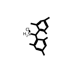 Cc1cc(C)c(C([SiH2]Cl)c2c(C)cc(C)cc2C)c(C)c1